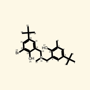 Cc1cc(C(C)(C)C)cc(CN(C)Cc2cc(C(C)(C)C)cc(Br)c2O)c1O